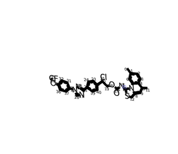 Cc1ccc2c(c1)N1C(=CC2C)CS/C1=N\C(=O)OCC(Cl)c1ccc(-c2ncn(-c3ccc(OC(F)(F)F)cc3)n2)cc1